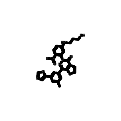 Cc1cc(-c2cnco2)cc(-c2nn(-c3cc(NCCCO)ccc3[N+](=O)[O-])c(=O)c3ccoc23)c1